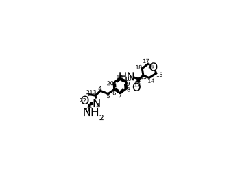 NC1=NC(CCc2ccc(NC(=O)C3CCOCC3)cc2)CO1